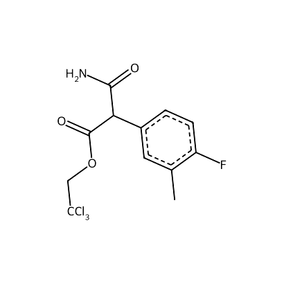 Cc1cc(C(C(N)=O)C(=O)OCC(Cl)(Cl)Cl)ccc1F